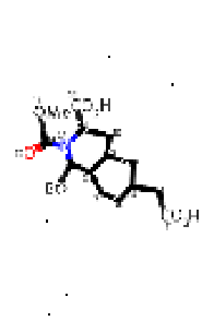 CCC1C2CCC(CC(=O)O)CC2CC(C(=O)O)N1C(=O)OC